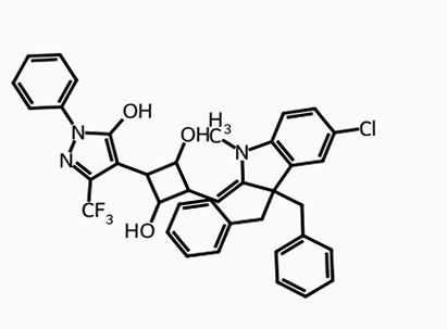 CN1C(=CC2C(O)C(c3c(C(F)(F)F)nn(-c4ccccc4)c3O)C2O)C(Cc2ccccc2)(Cc2ccccc2)c2cc(Cl)ccc21